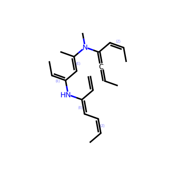 C=C/C(=C\C=C/C)NC(=C/C)/C=C(\C)N(C)C(=C=CC)/C=C\C